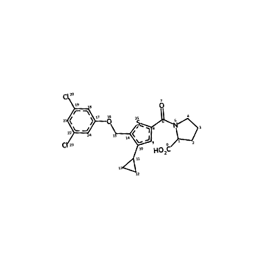 O=C(O)C1CCCN1C(=O)c1cc(C2CC2)c(COc2cc(Cl)cc(Cl)c2)s1